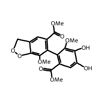 COC(=O)c1cc(O)c(O)c(OC)c1-c1c(C(=O)OC)cc2c(c1OC)OOC2